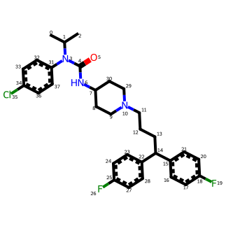 CC(C)N(C(=O)NC1CCN(CCCC(c2ccc(F)cc2)c2ccc(F)cc2)CC1)c1ccc(Cl)cc1